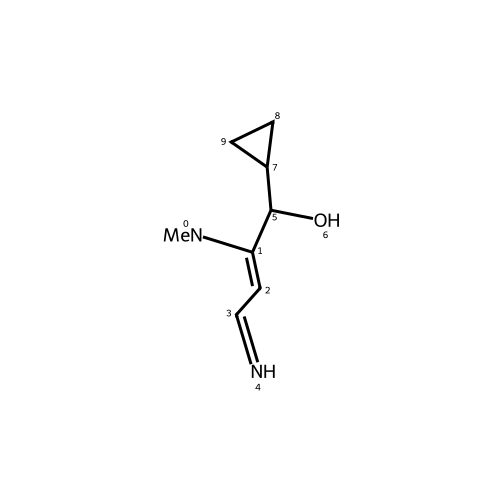 CN/C(=C\C=N)C(O)C1CC1